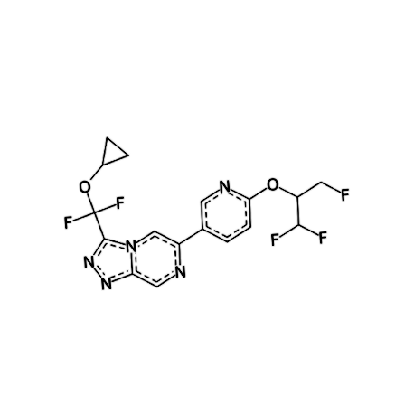 FCC(Oc1ccc(-c2cn3c(C(F)(F)OC4CC4)nnc3cn2)cn1)C(F)F